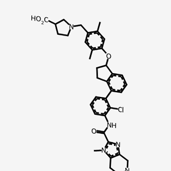 Cc1cc(OC2CCc3c(-c4cccc(NC(=O)c5nc6c(n5C)CCN(C)C6)c4Cl)cccc32)c(C)cc1CN1CCC(C(=O)O)C1